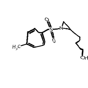 CCCCC1CN1S(=O)(=O)c1ccc(C)cc1